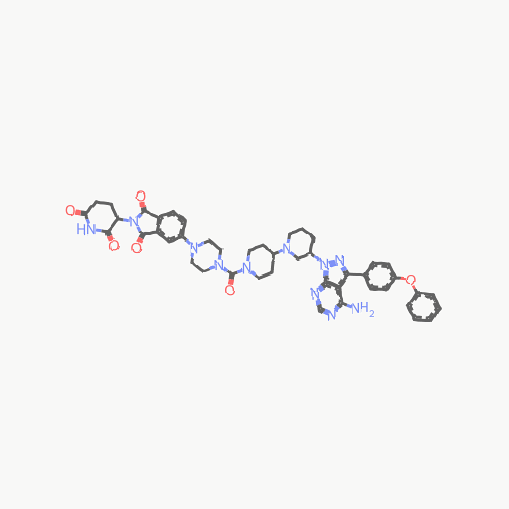 Nc1ncnc2c1c(-c1ccc(Oc3ccccc3)cc1)nn2C1CCCN(C2CCN(C(=O)N3CCN(c4ccc5c(c4)C(=O)N(C4CCC(=O)NC4=O)C5=O)CC3)CC2)C1